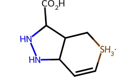 O=C(O)C1NNC2C=C[SH3]CC21